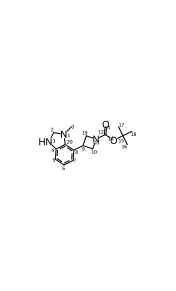 CN1CNc2cccc(C3CN(C(=O)OC(C)(C)C)C3)c21